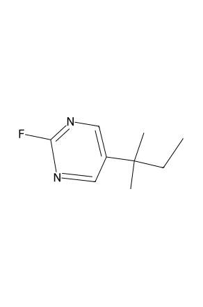 CCC(C)(C)c1cnc(F)nc1